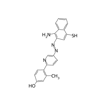 Cc1cc(O)ccc1-c1ccc(/N=N/c2cc(S)c3ccccc3c2N)cn1